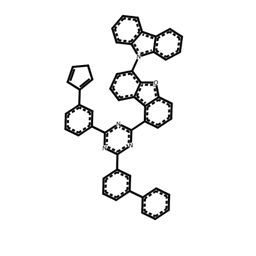 C1=CC(c2cccc(-c3nc(-c4cccc(-c5ccccc5)c4)nc(-c4cccc5oc6c(-n7c8ccccc8c8ccccc87)cccc6c45)n3)c2)=CC1